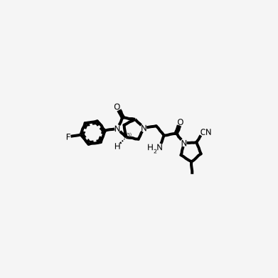 CC1CC(C#N)N(C(=O)C(N)CN2C[C@@H]3CC2C(=O)N3c2ccc(F)cc2)C1